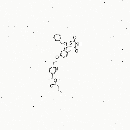 CCCCC(=O)O[C@H](C)c1ccc(CCOc2ccc(CC3(C(=O)OCc4ccccc4)SC(=O)NC3=O)cc2)nc1